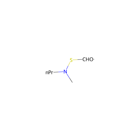 CCCN(C)S[C]=O